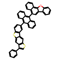 c1ccc(-c2csc3cc4c(cc23)sc2ccc(-c3c5ccccc5c(-c5cc6c7ccccc7oc6c6ccccc56)c5ccccc35)cc24)cc1